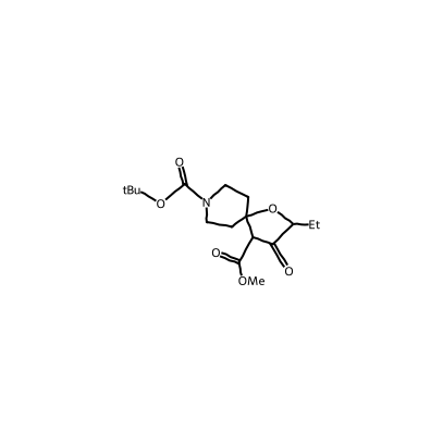 CCC1OC2(CCN(C(=O)OC(C)(C)C)CC2)C(C(=O)OC)C1=O